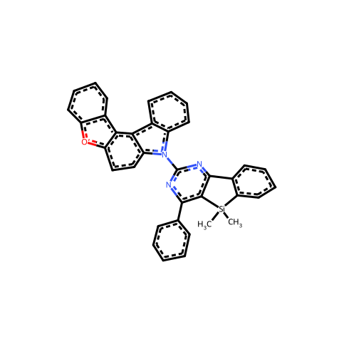 C[Si]1(C)c2ccccc2-c2nc(-n3c4ccccc4c4c5c(ccc43)oc3ccccc35)nc(-c3ccccc3)c21